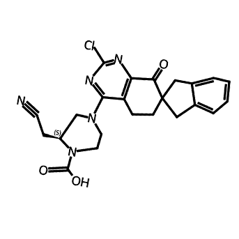 N#CC[C@H]1CN(c2nc(Cl)nc3c2CCC2(Cc4ccccc4C2)C3=O)CCN1C(=O)O